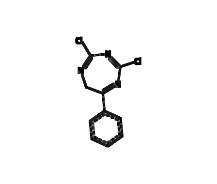 ClC1=NCC(c2ccccc2)=NC(Cl)=N1